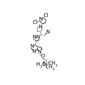 C[Si](C)(C)CCOCn1ccc2c(-c3cnn([C@@H](CC#N)[C@H]4CCN(c5ccc(Cl)nc5Cl)C4)c3)ncnc21